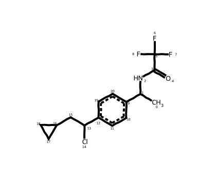 CC(NC(=O)C(F)(F)F)c1ccc(C(Cl)CC2CC2)cc1